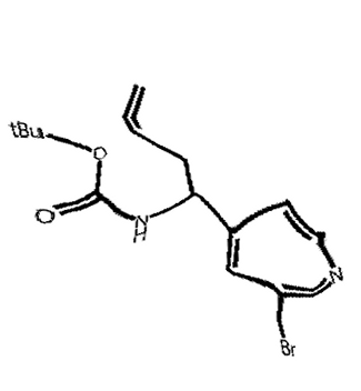 C=CCC(NC(=O)OC(C)(C)C)c1ccnc(Br)c1